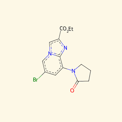 CCOC(=O)c1cn2cc(Br)cc(N3CCCC3=O)c2n1